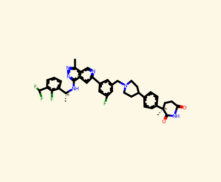 Cc1nnc(N[C@H](C)c2cccc(C(F)F)c2F)c2cc(-c3cc(F)cc(CN4CCC(c5ccc([C@@]6(C)CCC(=O)NC6=O)cc5)CC4)c3)ncc12